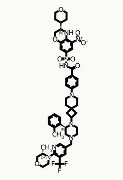 Cc1ccccc1[C@@H]1CN(Cc2cnc(N3CCOC[C@@H]3C)c(C(F)(F)F)c2)CCN1C1CC2(CCN(c3ccc(C(=O)NS(=O)(=O)c4cc5c(c([N+](=O)[O-])c4)N[C@H](C4CCOCC4)CO5)cc3)CC2)C1